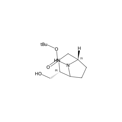 CC(C)(C)OC(=O)N1C2CC[C@H]1CN[C@H]2CO